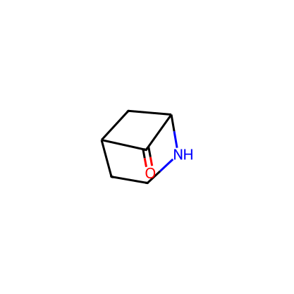 O=C1C2CCNC1C2